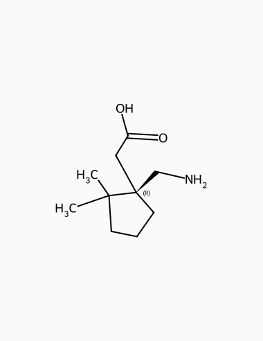 CC1(C)CCC[C@@]1(CN)CC(=O)O